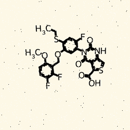 CCSc1cc(F)c(-n2c(=O)[nH]c3csc(C(=O)O)c3c2=O)cc1OCc1c(OC)ccc(F)c1F